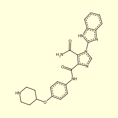 NC(=O)c1c(C(=O)Nc2ccc(OC3CCNCC3)cc2)ncn1-c1nc2ccccc2[nH]1